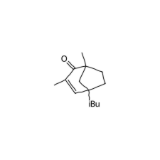 CCC(C)C12C=C(C)C(=O)C(C)(CC1)C2